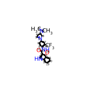 CN(C)[C@H]1CCN(c2ccc(NC(=O)c3c[nH]c4ccccc4c3=O)c(C(F)(F)F)c2)C1